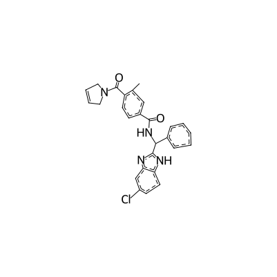 Cc1cc(C(=O)NC(c2ccccc2)c2nc3cc(Cl)ccc3[nH]2)ccc1C(=O)N1CC=CC1